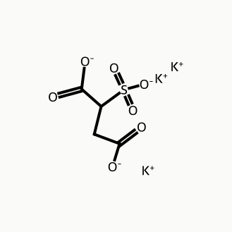 O=C([O-])CC(C(=O)[O-])S(=O)(=O)[O-].[K+].[K+].[K+]